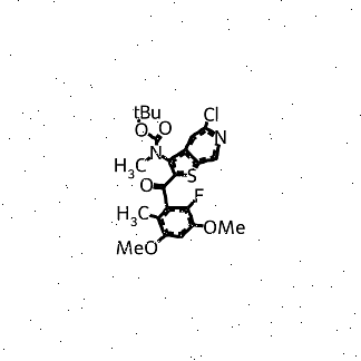 COc1cc(OC)c(F)c(C(=O)c2sc3cnc(Cl)cc3c2N(C)C(=O)OC(C)(C)C)c1C